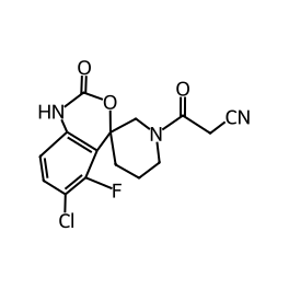 N#CCC(=O)N1CCCC2(C1)OC(=O)Nc1ccc(Cl)c(F)c12